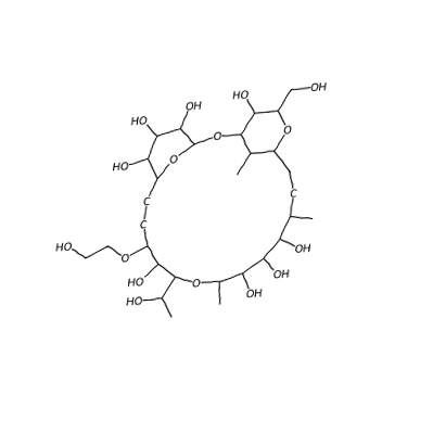 CC(O)C1OC(C)C(O)C(O)C(O)C(C)CCC2OC(CO)C(O)C(OC3OC(CCC(OCCO)C1O)C(O)C(O)C3O)C2C